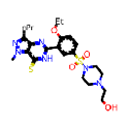 CCCc1nn(C)c2c(=S)[nH]c(-c3cc(S(=O)(=O)N4CCN(CCO)CC4)ccc3OCC)nc12